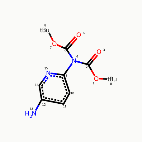 CC(C)(C)OC(=O)N(C(=O)OC(C)(C)C)c1ccc(N)cn1